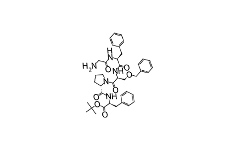 CC(C)(C)OC(=O)[C@H](Cc1ccccc1)NC(=O)[C@@H]1CCCN1C(=O)[C@H](COCc1ccccc1)NC(=O)[C@H](Cc1ccccc1)NC(=O)CN